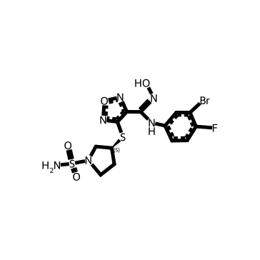 NS(=O)(=O)N1CC[C@H](Sc2nonc2C(=NO)Nc2ccc(F)c(Br)c2)C1